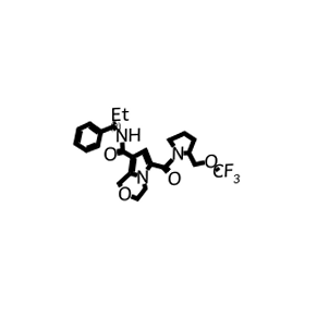 CC[C@@H](NC(=O)c1cc(C(=O)N2CCCC2COC(F)(F)F)n2c1COCC2)c1ccccc1